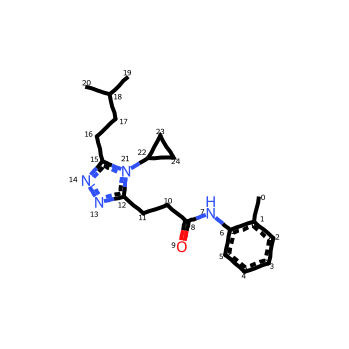 Cc1ccccc1NC(=O)CCc1nnc(CCC(C)C)n1C1CC1